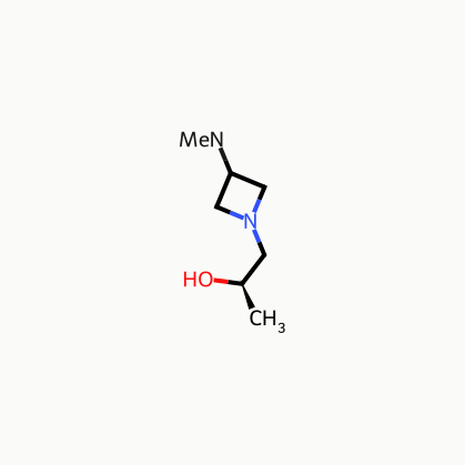 CNC1CN(C[C@@H](C)O)C1